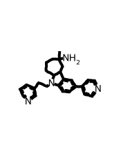 CC1(N)CCCC2C(C1)c1cc(-c3ccncc3)ccc1N2CCc1cccnc1